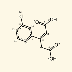 O=C(O)/C=C(/CC(=O)O)c1cccc(Cl)c1